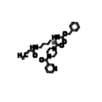 C=CC(=O)NCCCC[C@H](NC(=O)OCc1ccccc1)C(=O)N1CCN(C(=O)c2cccnc2)CC1